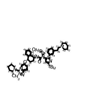 C[C@H]1CCCCN1c1nnc2ccc(O[C@@H]3CC[C@H](NC(=O)N(OC=O)c4cc(C(C)(C)C)nn4-c4cccc(CCN5CCCCC5)c4)c4ccccc43)cn12